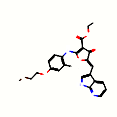 CCOC(=O)C1=C(Nc2ccc(OCCSC)cc2C)OC(=Cc2c[nH]c3ncccc23)C1=O